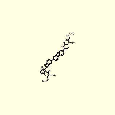 C=C(CN(CCC)C(=O)CNC=O)N/C(=C\C)c1ccc2c(c1)sc1cc(-c3ccc4nc([C@@H]5[C@H]6CC[C@H](C6)N5C(=O)[C@H](CCSC)NC)[nH]c4c3)ccc12